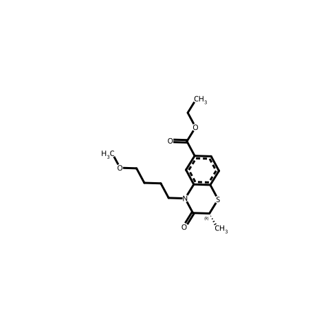 CCOC(=O)c1ccc2c(c1)N(CCCCOC)C(=O)[C@@H](C)S2